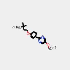 CCCCCCCCOc1cnc(-c2ccc(OCCC(C)(C)CCCCCC)cc2)nc1